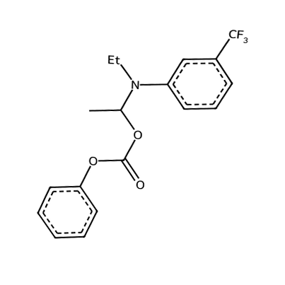 CCN(c1cccc(C(F)(F)F)c1)C(C)OC(=O)Oc1ccccc1